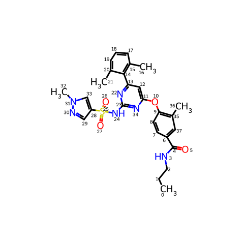 CCCNC(=O)c1ccc(Oc2cc(-c3c(C)cccc3C)nc(NS(=O)(=O)c3cnn(C)c3)n2)c(C)c1